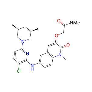 CNC(=O)COc1cc2cc(Nc3nc(N4C[C@H](C)C[C@H](C)C4)ccc3Cl)ccc2n(C)c1=O